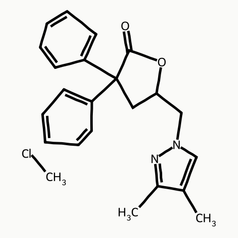 CCl.Cc1cn(CC2CC(c3ccccc3)(c3ccccc3)C(=O)O2)nc1C